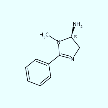 CN1C(c2ccccc2)=NC[C@@H]1N